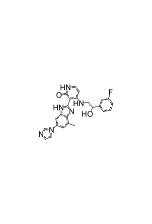 Cc1cc(-n2ccnc2)cc2[nH]c(-c3c(NCC(O)c4cccc(F)c4)cc[nH]c3=O)nc12